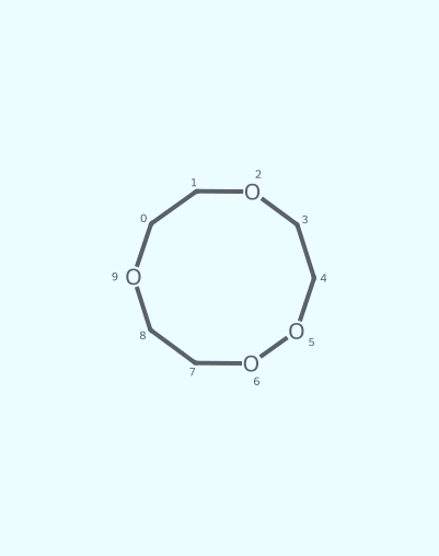 C1COCCOOCCO1